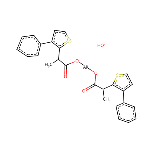 CC(C(=O)[O][Al+][O]C(=O)C(C)c1sccc1-c1ccccc1)c1sccc1-c1ccccc1.[OH-]